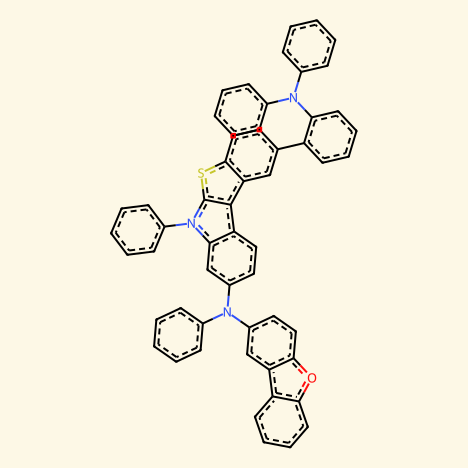 c1ccc(N(c2ccc3oc4ccccc4c3c2)c2ccc3c4c5cc(-c6ccccc6N(c6ccccc6)c6ccccc6)ccc5sc4n(-c4ccccc4)c3c2)cc1